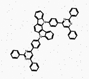 c1ccc(-c2cc(-c3ccc(-n4c5ccccc5c5c4ccc4c6ccccc6n(-c6ccc(-c7cc(-c8ccccc8)nc(-c8ccccc8)n7)cc6)c45)cc3)nc(-c3ccccc3)n2)cc1